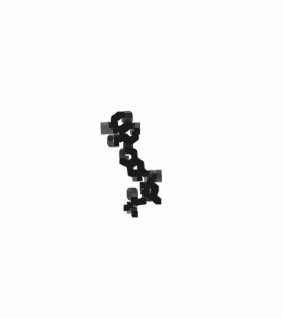 Cc1cc(Nc2cc3c(cn2)CCN(c2cnc4c(c2Cl)NCCO4)C3)nn1CC(=O)N(C)C